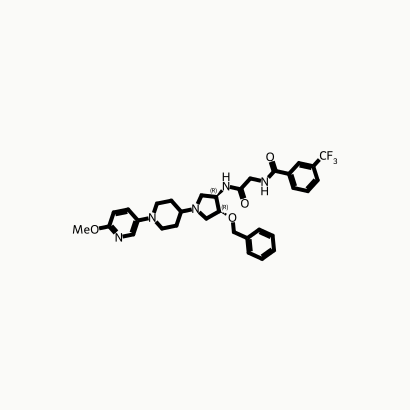 COc1ccc(N2CCC(N3C[C@@H](NC(=O)CNC(=O)c4cccc(C(F)(F)F)c4)[C@H](OCc4ccccc4)C3)CC2)cn1